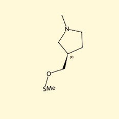 CSOC[C@@H]1CCN(C)C1